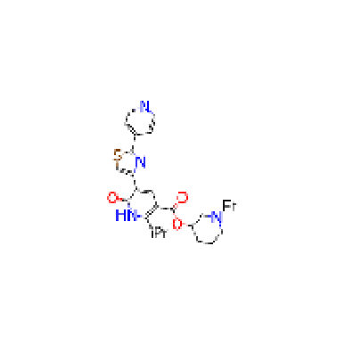 CCN1CCCC(OC(=O)c2cc(-c3csc(-c4ccncc4)n3)c(=O)[nH]c2C(C)C)C1